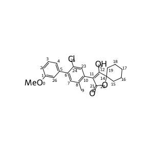 COc1cccc(-c2cc(C)c(C3=C(O)C4(CCCCC4)OC3=O)cc2Cl)c1